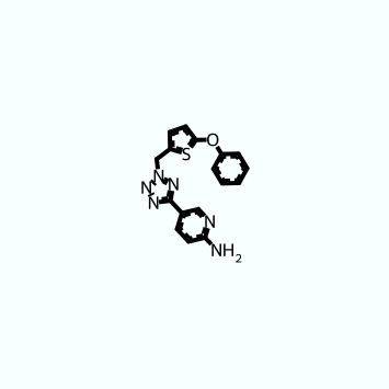 Nc1ccc(-c2nnn(Cc3ccc(Oc4ccccc4)s3)n2)cn1